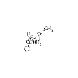 CCCCOC1CCCC(C[C@](N)(CCC2CCCCC2)C(N)=O)C1